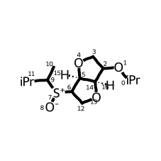 CC(C)OC1CO[C@@H]2C([S+]([O-])C(C)C(C)C)CO[C@H]12